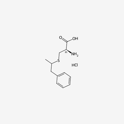 CC(Cc1ccccc1)SC[C@H](N)C(=O)O.Cl